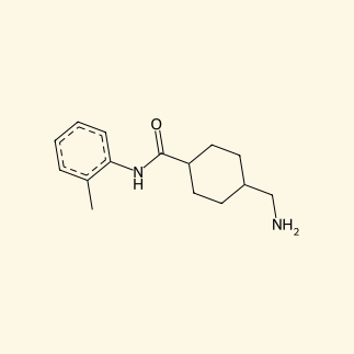 Cc1ccccc1NC(=O)C1CCC(CN)CC1